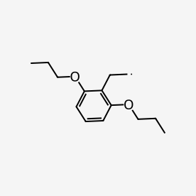 [CH2]Cc1c(OCCC)cccc1OCCC